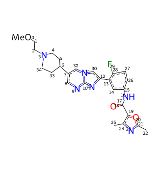 COCCN1CCC(c2cnc3nc(-c4cc(NC(=O)c5oc(C)nc5C)ccc4F)cn3c2)CC1